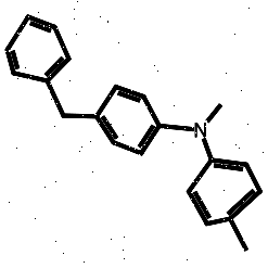 Cc1ccc(N(C)c2ccc(Cc3ccccc3)cc2)cc1